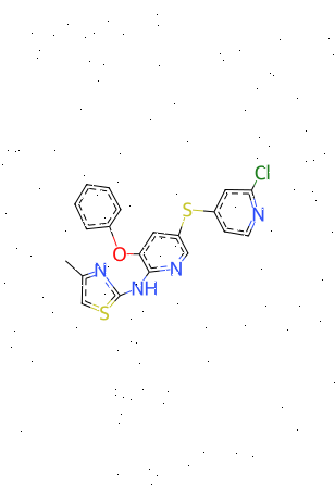 Cc1csc(Nc2ncc(Sc3ccnc(Cl)c3)cc2Oc2ccccc2)n1